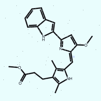 COC(=O)CCc1c(C)[nH]c(/C=C2\N=C(c3cc4ccccc4[nH]3)C=C2OC)c1C